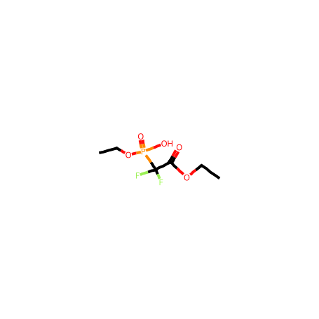 CCOC(=O)C(F)(F)P(=O)(O)OCC